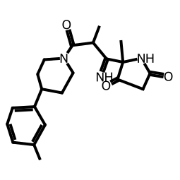 Cc1cccc(C2CCN(C(=O)C(C)C(=N)C3(C)NC(=O)CC3=O)CC2)c1